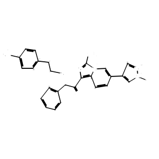 Cc1nc(C(=O)[C@@H](NCCc2ccc(C#N)cc2)c2ccccc2)c2ccc(-c3cnn(C)c3)cn12